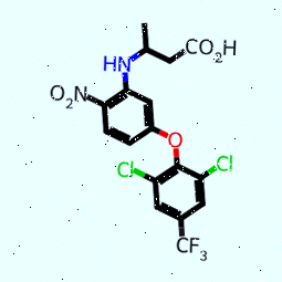 CC(CC(=O)O)Nc1cc(Oc2c(Cl)cc(C(F)(F)F)cc2Cl)ccc1[N+](=O)[O-]